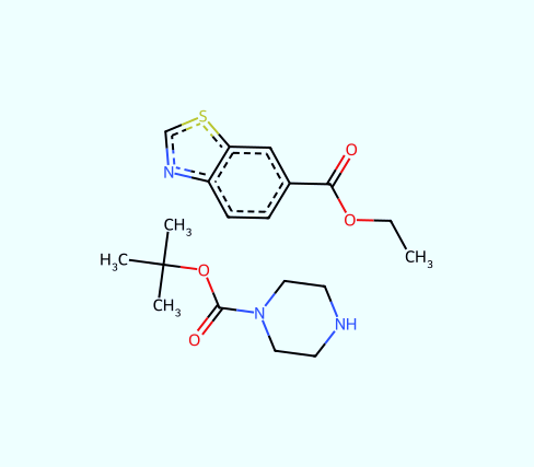 CC(C)(C)OC(=O)N1CCNCC1.CCOC(=O)c1ccc2ncsc2c1